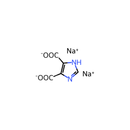 O=C([O-])c1nc[nH]c1C(=O)[O-].[Na+].[Na+]